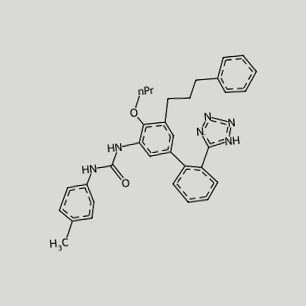 CCCOc1c(CCCc2ccccc2)cc(-c2ccccc2-c2nnn[nH]2)cc1NC(=O)Nc1ccc(C)cc1